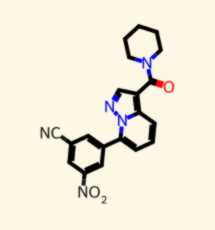 N#Cc1cc(-c2cccc3c(C(=O)N4CCCCC4)cnn23)cc([N+](=O)[O-])c1